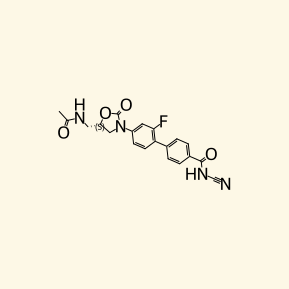 CC(=O)NC[C@H]1CN(c2ccc(-c3ccc(C(=O)NC#N)cc3)c(F)c2)C(=O)O1